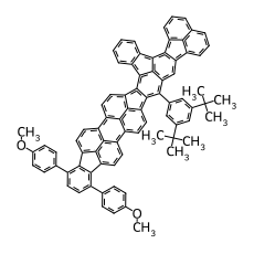 COc1ccc(-c2ccc(-c3ccc(OC)cc3)c3c2-c2ccc4c5ccc6c7c(-c8cc(C(C)(C)C)cc(C(C)(C)C)c8)c8cc9c%10cccc%11cccc(c%11%10)c9c9c%10ccccc%10c(c7c7ccc(c%10ccc-3c2c4%10)c5c67)c89)cc1